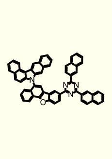 c1ccc2cc(-c3nc(-c4ccc5ccccc5c4)nc(-c4ccc5oc6c7ccccc7c(-n7c8cc9ccccc9cc8c8c9ccccc9ccc87)cc6c5c4)n3)ccc2c1